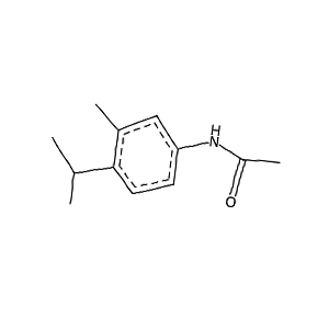 CC(=O)Nc1ccc(C(C)C)c(C)c1